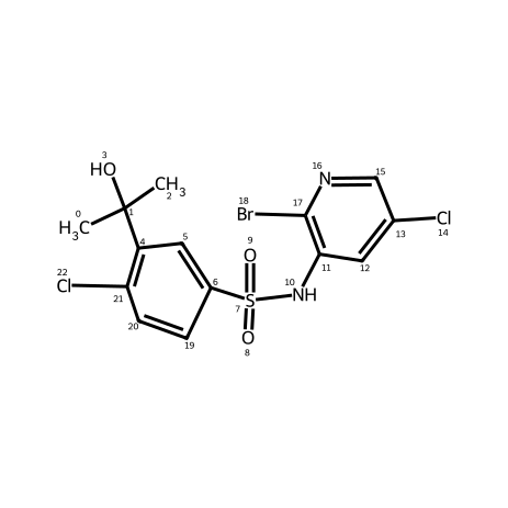 CC(C)(O)c1cc(S(=O)(=O)Nc2cc(Cl)cnc2Br)ccc1Cl